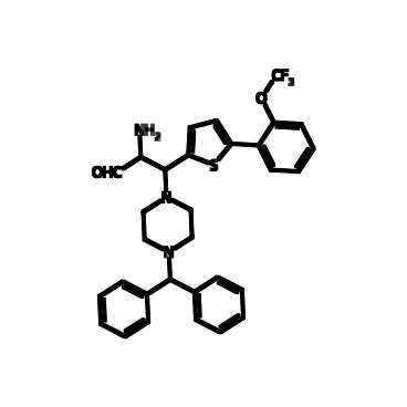 NC(C=O)C(c1ccc(-c2ccccc2OC(F)(F)F)s1)N1CCN(C(c2ccccc2)c2ccccc2)CC1